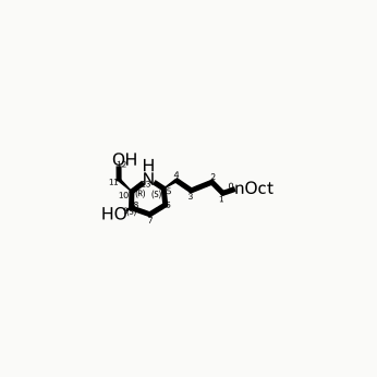 CCCCCCCCCCCC[C@H]1CC[C@H](O)[C@@H](CO)N1